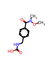 CON(C)C(=O)c1ccc(CNC(=O)O)cc1